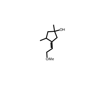 COC/C=C1/CC(C)(O)CC1C